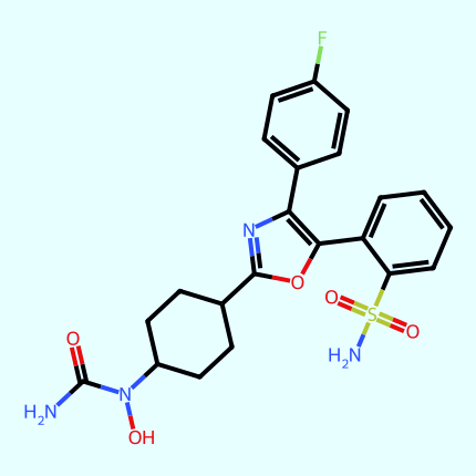 NC(=O)N(O)C1CCC(c2nc(-c3ccc(F)cc3)c(-c3ccccc3S(N)(=O)=O)o2)CC1